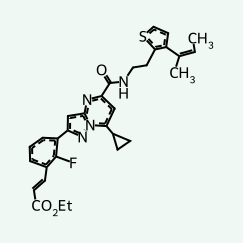 C/C=C(/C)c1ccsc1CCNC(=O)c1cc(C2CC2)n2nc(-c3cccc(/C=C/C(=O)OCC)c3F)cc2n1